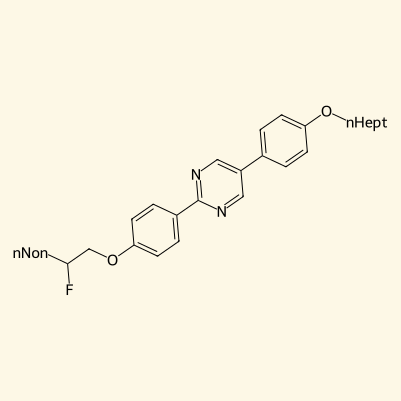 CCCCCCCCCC(F)COc1ccc(-c2ncc(-c3ccc(OCCCCCCC)cc3)cn2)cc1